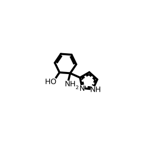 NC1(c2cc[nH]n2)C=CC=CC1O